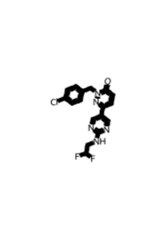 O=c1ccc(-c2cnc(NCC(F)F)nc2)nn1Cc1ccc(Cl)cc1